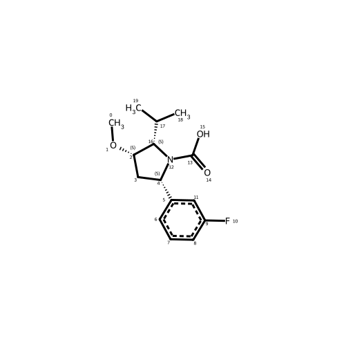 CO[C@H]1C[C@@H](c2cccc(F)c2)N(C(=O)O)[C@H]1C(C)C